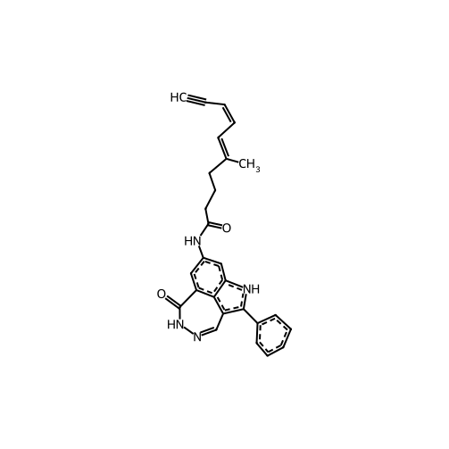 C#C/C=C\C=C(/C)CCCC(=O)Nc1cc2c3c(c(-c4ccccc4)[nH]c3c1)C=NNC2=O